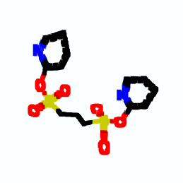 O=S(=O)(CCCS(=O)(=O)Oc1ccccn1)Oc1ccccn1